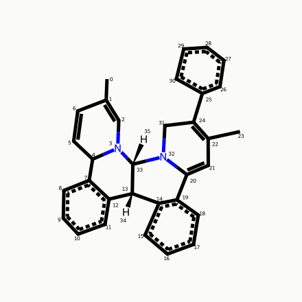 CC1=CN2C(C=C1)c1ccccc1[C@H]1c3ccccc3C3=CC(C)=C(c4ccccc4)CN3[C@H]12